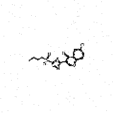 CCCCS(=O)(=O)c1nnc(-c2coc3ccc(Cl)cc3c2=O)s1